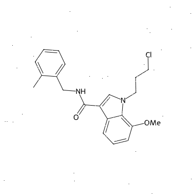 COc1cccc2c(C(=O)NCc3ccccc3C)cn(CCCCl)c12